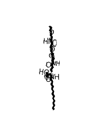 CCCCCCCCCCCCCC(=O)N[C@@H](CCCC(=O)NCCOCCOCC(=O)NCCOCCC)C(=O)O